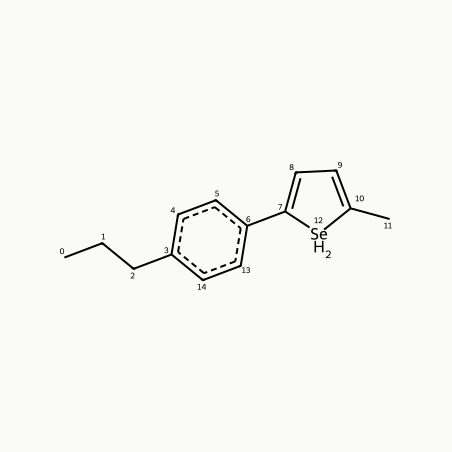 CCCc1ccc(C2=CC=C(C)[SeH2]2)cc1